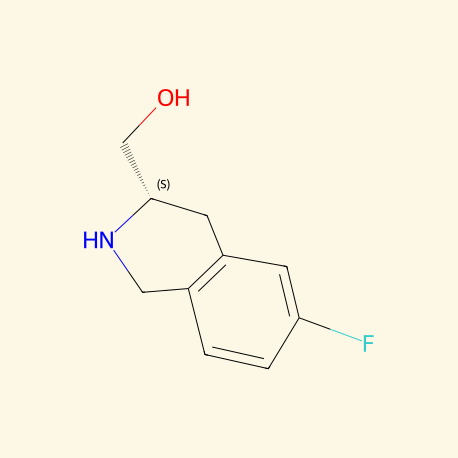 OC[C@@H]1Cc2cc(F)ccc2CN1